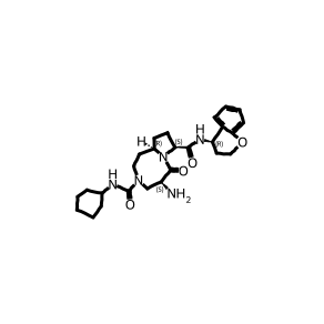 N[C@H]1CN(C(=O)NC2CCCCC2)CC[C@H]2CC[C@@H](C(=O)N[C@@H]3CCOc4ccccc43)N2C1=O